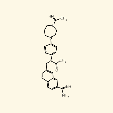 CC(=N)N1CCCN(c2ccc(N(Cc3ccc4ccc(C(=N)N)cc4c3)C(C)=O)cc2)CC1